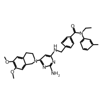 CCN(C(=O)c1ccc(CNc2cc(N3CCc4cc(OC)c(OC)cc4C3)nc(N)n2)cc1)c1cccc(C)c1